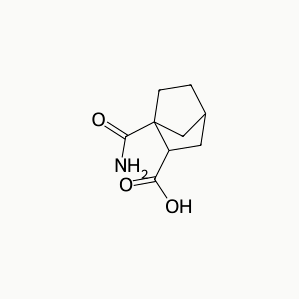 NC(=O)C12CCC(CC1C(=O)O)C2